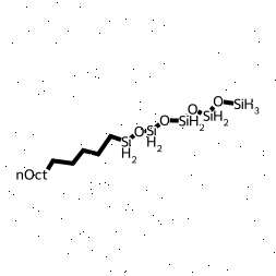 CCCCCCCCCCCCC[SiH2]O[SiH2]O[SiH2]O[SiH2]O[SiH3]